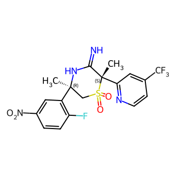 C[C@@]1(c2cc([N+](=O)[O-])ccc2F)CS(=O)(=O)[C@@](C)(c2cc(C(F)(F)F)ccn2)C(=N)N1